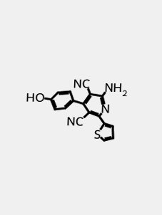 N#Cc1c(N)nc(-c2cccs2)c(C#N)c1-c1ccc(O)cc1